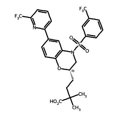 CC(C)(CC[C@H]1CN(S(=O)(=O)c2cccc(C(F)(F)F)c2)c2cc(-c3cccc(C(F)(F)F)n3)ccc2O1)C(=O)O